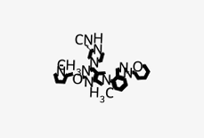 Cc1ccc2c(cnn2C2CCCCO2)c1N1Cc2nc(OCC3CCCN3C)nc(N3CCN[C@@H](CC#N)C3)c2C1